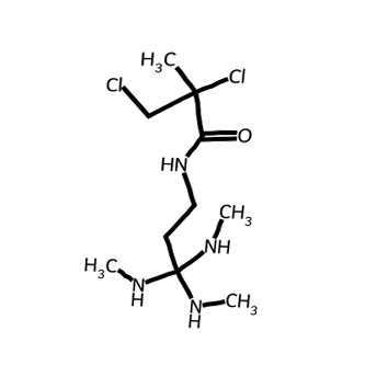 CNC(CCNC(=O)C(C)(Cl)CCl)(NC)NC